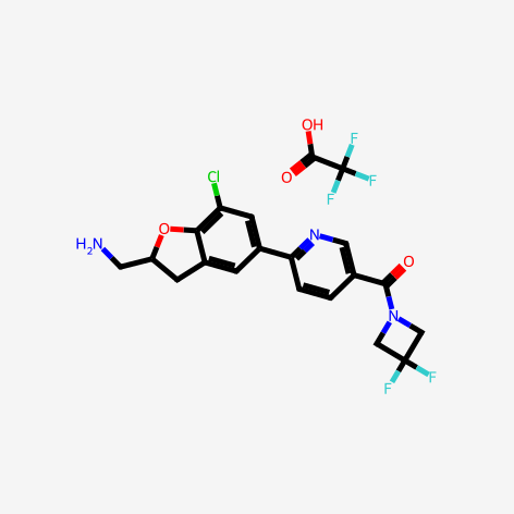 NCC1Cc2cc(-c3ccc(C(=O)N4CC(F)(F)C4)cn3)cc(Cl)c2O1.O=C(O)C(F)(F)F